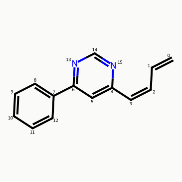 C=C/C=C\c1cc(-c2ccccc2)ncn1